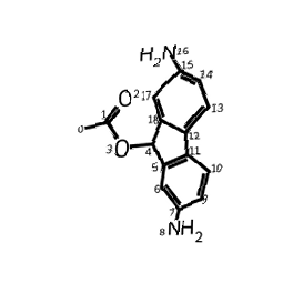 CC(=O)OC1c2cc(N)ccc2-c2ccc(N)cc21